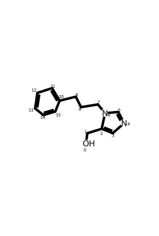 OCc1cncn1CCCc1ccccc1